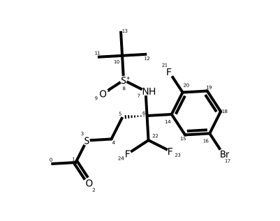 CC(=O)SCC[C@](N[S+]([O-])C(C)(C)C)(c1cc(Br)ccc1F)C(F)F